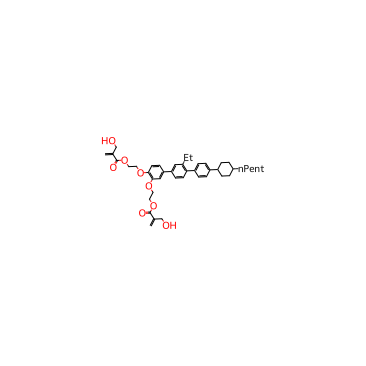 C=C(CO)C(=O)OCCOc1ccc(-c2ccc(-c3ccc(C4CCC(CCCCC)CC4)cc3)c(CC)c2)cc1OCCOC(=O)C(=C)CO